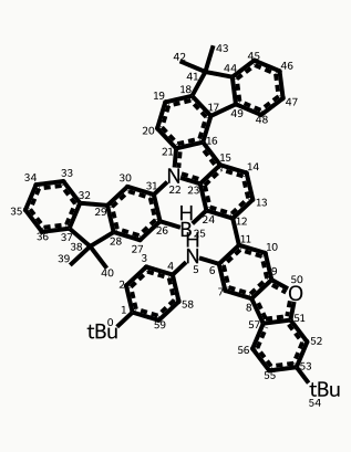 CC(C)(C)c1ccc(Nc2cc3c(cc2-c2ccc4c5c6c(ccc5n5c4c2Bc2cc4c(cc2-5)-c2ccccc2C4(C)C)C(C)(C)c2ccccc2-6)oc2cc(C(C)(C)C)ccc23)cc1